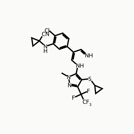 Cn1nc(C(F)(F)C(F)(F)F)c(SC2CC2)c1N/C=C(\C=N)c1ccc(Cl)c(NC2(C#N)CC2)c1